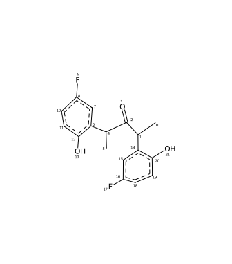 CC(C(=O)C(C)c1cc(F)ccc1O)c1cc(F)ccc1O